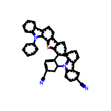 N#CC1=CC=C(c2cccc3c2sc2c3ccc3c4ccccc4n(-c4ccccc4)c32)C(n2c3ccccc3c3cc(C#N)ccc32)C1